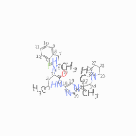 CCCC(NC(C)Cc1ccccc1F)C(=O)Nc1cn(C(C)(C)CN2CCCC2)cn1